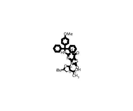 CC[C@H](C)[C@@H]1C[C@@H]([C@H](C)O)[C@H](n2c(=O)sc3c(=O)[nH]c(NC(c4ccccc4)(c4ccccc4)c4ccc(OC)cc4)nc32)O1